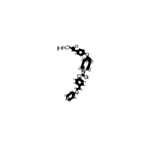 O=C(O)Cc1ccc(OC2CCN(C(=O)Oc3ccc(CCOc4ccncc4)cc3)CC2)cc1